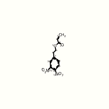 C=CC(=O)OCCc1ccc([N+](=O)[O-])c([N+](=O)[O-])c1